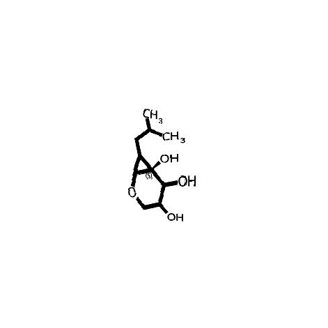 CC(C)CC1C2OCC(O)C(O)[C@@]12O